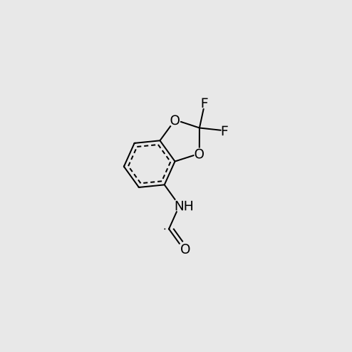 O=[C]Nc1cccc2c1OC(F)(F)O2